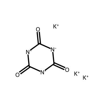 O=c1[n-]c(=O)[n-]c(=O)[n-]1.[K+].[K+].[K+]